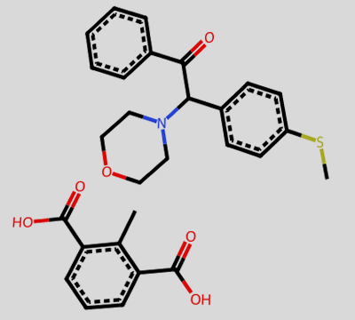 CSc1ccc(C(C(=O)c2ccccc2)N2CCOCC2)cc1.Cc1c(C(=O)O)cccc1C(=O)O